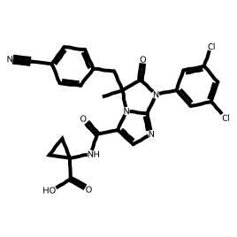 CC1(Cc2ccc(C#N)cc2)C(=O)N(c2cc(Cl)cc(Cl)c2)c2ncc(C(=O)NC3(C(=O)O)CC3)n21